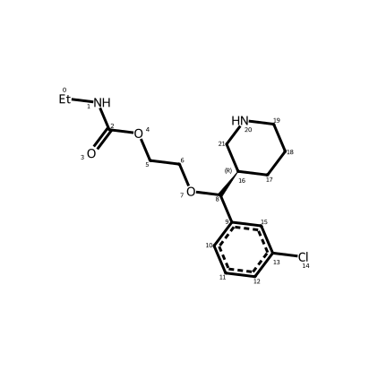 CCNC(=O)OCCOC(c1cccc(Cl)c1)[C@@H]1CCCNC1